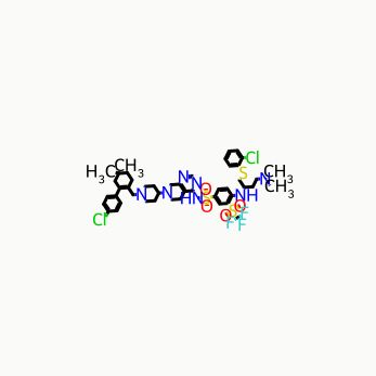 CN(C)CCC(CSc1ccccc1Cl)Nc1ccc(S(=O)(=O)Nc2ncnc3c2CCN(C2CCN(CC4=C(c5ccc(Cl)cc5)CC(C)(C)CC4)CC2)C3)cc1S(=O)(=O)C(F)(F)F